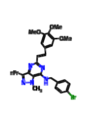 CCCc1nn(C)c2c(NCc3ccc(Br)cc3)nc(/C=C/c3cc(OC)c(OC)c(OC)c3)nc12